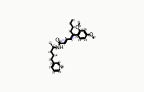 CCCC/C(=C\C=C\C(=O)N[C@H](C)CCCc1cccnc1)c1ccc(OC)cc1OC